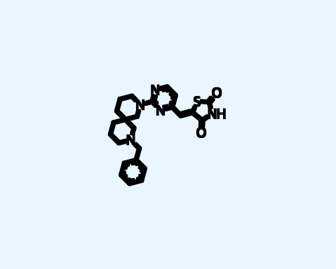 O=C1NC(=O)/C(=C/c2ccnc(N3CCCC4(CCCN(Cc5ccccc5)C4)C3)n2)S1